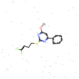 CCOc1cc(-c2ccccc2)nc(SCCC=C(F)F)n1